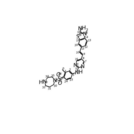 Cc1cc(Nc2ncc(/C=C/c3ccc4nc(N)sc4c3)cn2)ccc1S(=O)(=O)N1CCCNCC1